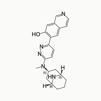 CN(c1ccc(-c2cc3ccncc3cc2O)nn1)[C@@H]1C[C@H]2CCC[C@@H](C1)N2